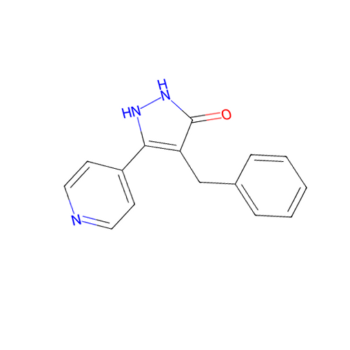 O=c1[nH][nH]c(-c2ccncc2)c1Cc1ccccc1